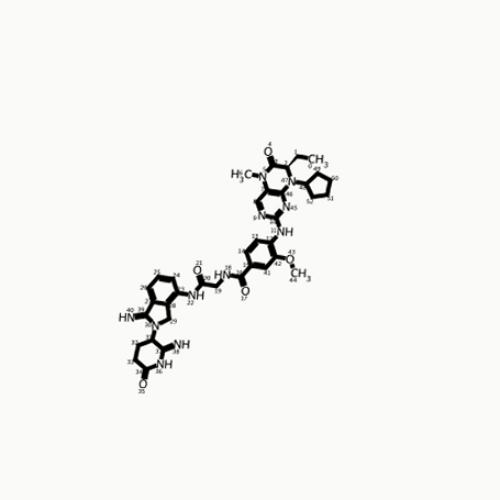 CC[C@@H]1C(=O)N(C)c2cnc(Nc3ccc(C(=O)NCC(=O)Nc4cccc5c4CN(C4CCC(=O)NC4=N)C5=N)cc3OC)nc2N1C1CCCC1